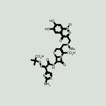 CCCCN(CC1=C(C(=O)O)N2C(=O)C(NC(=O)/C(=N\OC(C)(C)C(=O)O)c3csc(N)n3)C2SC1)Cc1nn(CC)c2cc(O)c(O)cc2c1=O